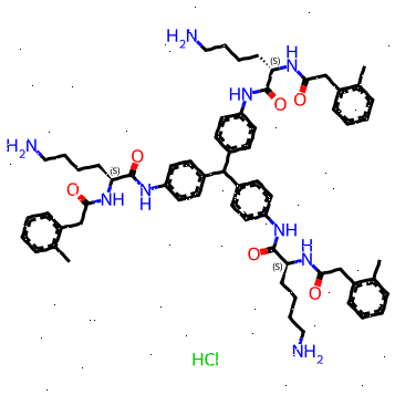 Cc1ccccc1CC(=O)N[C@@H](CCCCN)C(=O)Nc1ccc(C(c2ccc(NC(=O)[C@H](CCCCN)NC(=O)Cc3ccccc3C)cc2)c2ccc(NC(=O)[C@H](CCCCN)NC(=O)Cc3ccccc3C)cc2)cc1.Cl